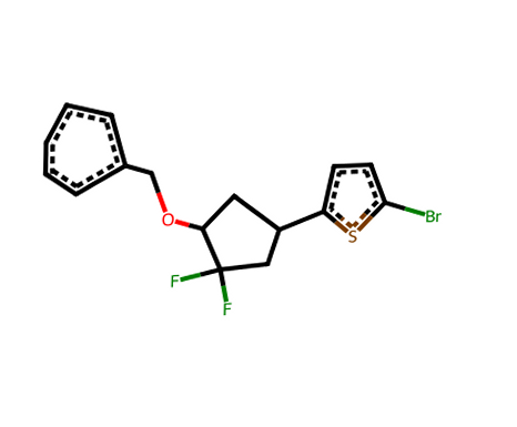 FC1(F)CC(c2ccc(Br)s2)CC1OCc1ccccc1